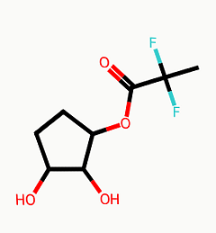 CC(F)(F)C(=O)OC1CCC(O)C1O